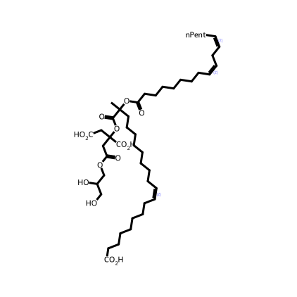 CCCCC/C=C\C/C=C\CCCCCCCC(=O)OC(C)(CCCCCCCC/C=C\CCCCCCCC(=O)O)C(=O)OC(CC(=O)O)(CC(=O)OCC(O)CO)C(=O)O